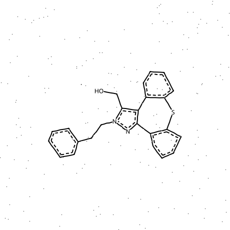 OCc1c2c(nn1CCc1ccccc1)-c1ccccc1Sc1ccccc1-2